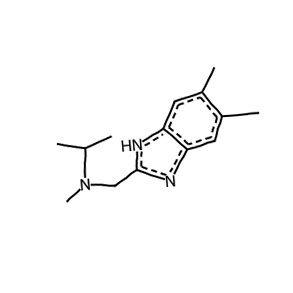 Cc1cc2nc(CN(C)C(C)C)[nH]c2cc1C